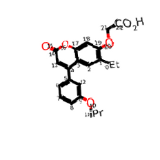 CCc1cc2c(-c3cccc(OC(C)C)c3)cc(=O)oc2cc1OCC(=O)O